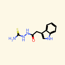 NC(=S)NNC(=O)Cc1c[nH]c2ccccc12